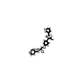 Cc1oc(-c2cccnc2)nc1-c1ccc(OCC(=O)NCC2CCOCC2)cc1